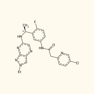 CCn1cc2ncc(N[C@@H](C)c3cc(NC(=O)Cc4ccc(Cl)cn4)ccc3F)nc2n1